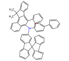 CC1(C)c2ccccc2-c2c(-c3ccccc3)c(N(c3ccc(-c4ccccc4)cc3)c3ccc4c(c3)C3(c5ccccc5-c5ccccc53)c3ccccc3-4)c3ccccc3c21